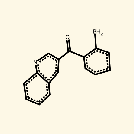 Bc1ccccc1C(=O)c1cnc2ccccc2c1